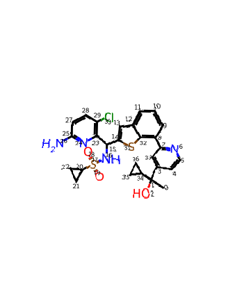 CC(O)(c1ccnc(-c2cccc3cc(C(NS(=O)(=O)C4CC4)c4nc(N)ccc4Cl)sc23)c1)C1CC1